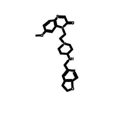 COc1ccc2ncc(=O)n(CCN3CCC(NCc4cc5c(cn4)OCC5)CC3)c2c1